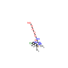 Cc1sc2c(c1C)C(c1ccc(Cl)cc1)N[C@@H](CC(=O)NCCOCCOCCOCCOCCO)c1nnc(C)n1-2